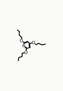 CCCCOc1cc(OCCCC)nc(OCCCC)c1